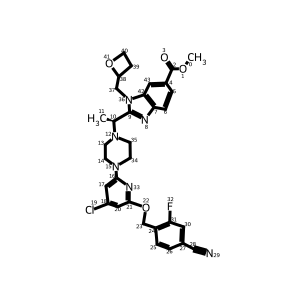 COC(=O)c1ccc2nc([C@H](C)N3CCN(c4cc(Cl)cc(OCc5ccc(C#N)cc5F)n4)CC3)n(CC3CCO3)c2c1